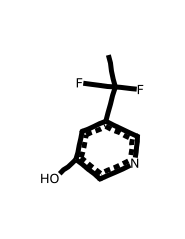 CC(F)(F)c1cncc(O)c1